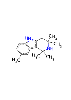 Cc1ccc2[nH]c3c(c2c1)C(C)(C)NC(C)(C)C3